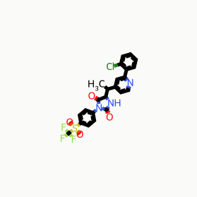 CC(c1ccnc(-c2ccccc2Cl)c1)C1NC(=O)N(c2ccc(S(=O)(=O)C(F)(F)F)cc2)C1=O